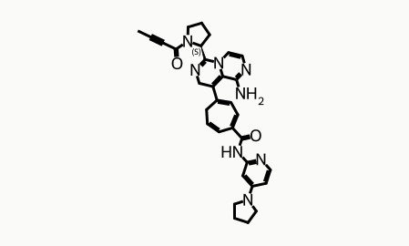 CC#CC(=O)N1CCC[C@H]1C1=NCC(C2=CC=C(C(=O)Nc3cc(N4CCCC4)ccn3)C=CC2)=C2C(N)=NC=CN12